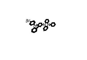 Brc1ccc(-n2c3ccccc3c3cc(N4c5ccccc5N(c5ccccc5)c5ccccc54)ccc32)cc1